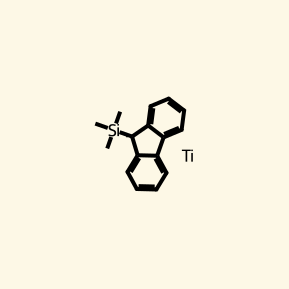 C[Si](C)(C)[C]1c2ccccc2-c2ccccc21.[Ti]